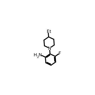 CCC1CCN(c2c(N)cccc2F)CC1